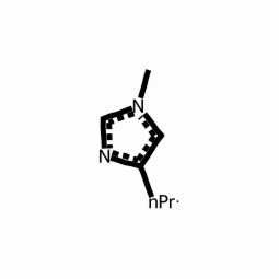 CC[CH]c1cn(C)cn1